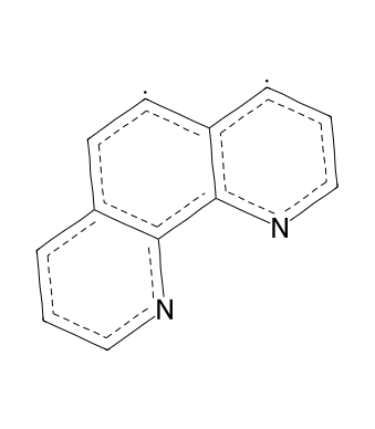 [c]1ccnc2c1[c]cc1cccnc12